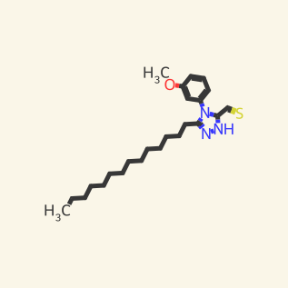 CCCCCCCCCCCCCCC1=NNC(C=S)N1c1cccc(OC)c1